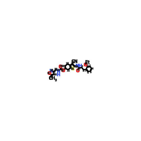 CCOc1ccccc1CCC(=O)Nc1sc2c(c1C#N)CCC(OC(=O)NCc1cc(C)on1)C2